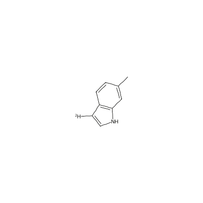 [2H]c1c[nH]c2cc(C)ccc12